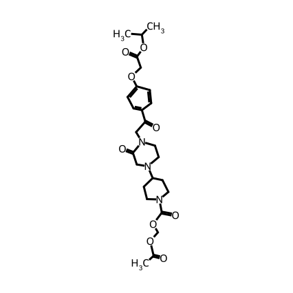 CC(=O)OCOC(=O)N1CCC(N2CCN(CC(=O)c3ccc(OCC(=O)OC(C)C)cc3)C(=O)C2)CC1